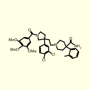 COc1cc(C(=O)N2CCC(CCN3CCC(C(N)=O)(c4ccccc4C)CC3)(c3ccc(Cl)c(Cl)c3)C2)cc(OC)c1OC